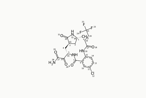 C[C@@H]1C[C@@H](C[C@H](NC(=O)c2cc(Cl)ccc2NC(=O)CCC(F)(F)F)C(=O)C(N)=O)C(=O)N1